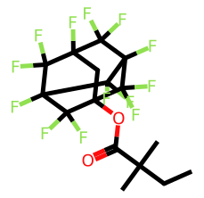 CCC(C)(C)C(=O)OC12CC3(F)C(F)(F)C(F)(C1(F)F)C(F)(F)C(F)(C3(F)F)C2(F)F